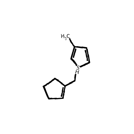 CC1=C[SH](CC2=CCCC2)C=C1